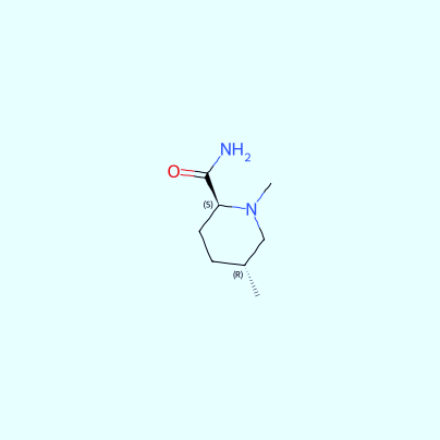 C[C@@H]1CC[C@@H](C(N)=O)N(C)C1